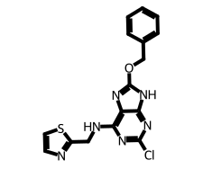 Clc1nc(NCc2nccs2)c2nc(OCc3ccccc3)[nH]c2n1